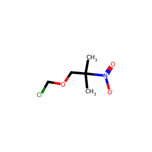 CC(C)(COCCl)[N+](=O)[O-]